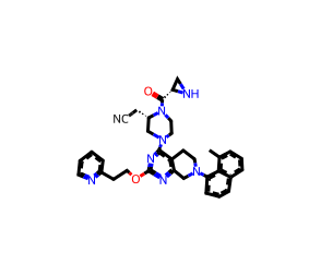 Cc1cccc2cccc(N3CCc4c(nc(OCCc5ccccn5)nc4N4CCN(C(=O)[C@@H]5CN5)[C@@H](CC#N)C4)C3)c12